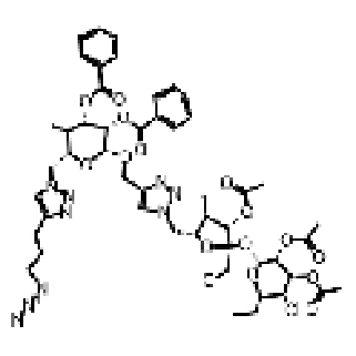 CC[C@H]1O[C@H](O[C@]2(CCl)O[C@H](Cn3cc(CO[C@H]4O[C@H](Cn5cc(CCCN=[N+]=[N-])nn5)[C@@H](C)[C@H](OC(=O)c5ccccc5)[C@@H]4OC(=O)c4ccccc4)nn3)[C@@H](C)[C@@H]2OC(C)=O)[C@H](OC(C)=O)[C@@H](OC(C)=O)[C@H]1Cl